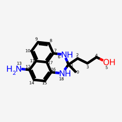 CC1(CCCO)Nc2cccc3c(N)ccc(c23)N1